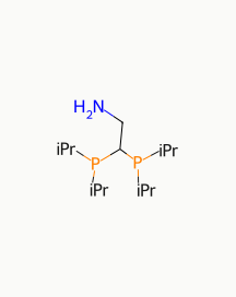 CC(C)P(C(C)C)C(CN)P(C(C)C)C(C)C